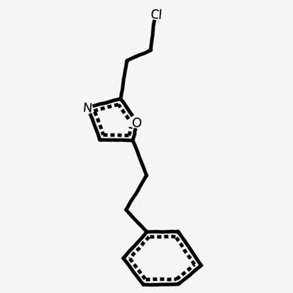 ClCCc1ncc(CCc2ccccc2)o1